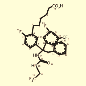 O=C(O)CCCCCc1cc(C(Cc2ccccc2)(NC(=O)NCC(F)(F)F)c2cc(F)cc(C(F)(F)F)c2)ccc1F